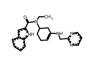 CCN(C(=O)c1cc2ccccc2[nH]1)C1CCC=C(NCc2ncccn2)C1